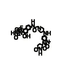 Cn1c(=O)n(C2CCC(=O)NC2=O)c2ccc(NC3CCN(CC(=O)Nc4ccc5c(F)c(N6CC(=O)NS6(=O)=O)c(O)cc5c4)CC3)cc21